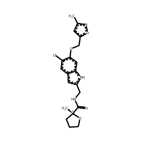 Cc1cc(COc2cc3[nH]c(CNC(=O)[C@@]4(C)CCCO4)cc3cc2Cl)on1